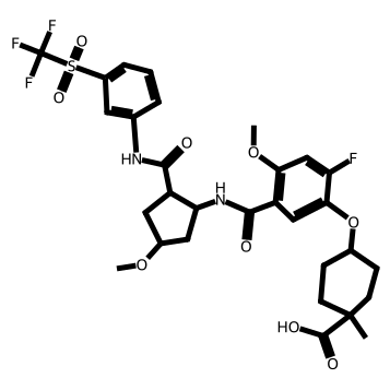 COc1cc(F)c(OC2CCC(C)(C(=O)O)CC2)cc1C(=O)NC1CC(OC)CC1C(=O)Nc1cccc(S(=O)(=O)C(F)(F)F)c1